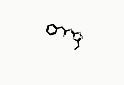 CCC1=N[N]C(=NC(=O)Cc2ccccc2)S1